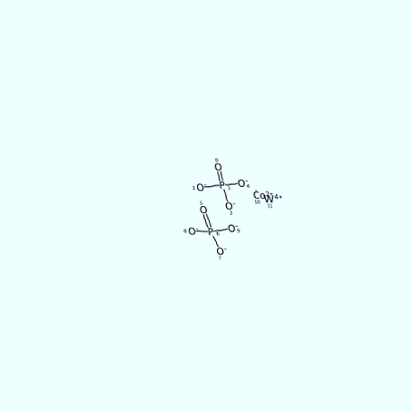 O=P([O-])([O-])[O-].O=P([O-])([O-])[O-].[Co+2].[W+4]